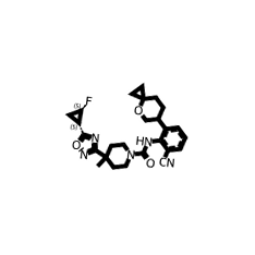 CC1(c2noc([C@@H]3C[C@@H]3F)n2)CCN(C(=O)Nc2c(C#N)cccc2C2CCC3(CC3)OC2)CC1